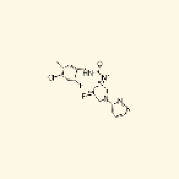 Cc1cc(CNC(=O)N(C)[C@@H]2C[C@H](F)CN(c3cccnn3)C2)c(F)cc1Cl